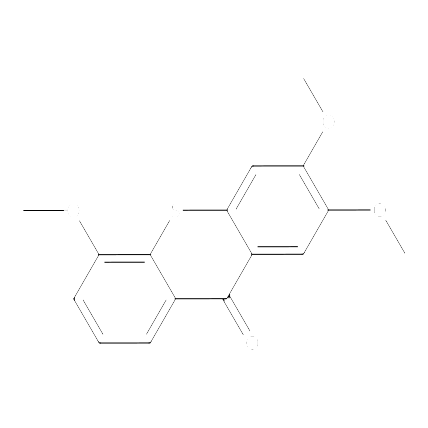 COc1cc2sc3c(OC)cccc3c(=O)c2cc1OC